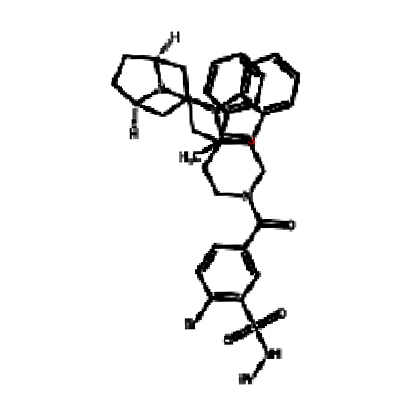 Cc1nc2ccccc2n1[C@H]1C[C@H]2CC[C@@H](C1)N2CCC1(c2ccccc2)CCN(C(=O)c2ccc(Br)c(S(=O)(=O)NC(C)C)c2)CC1